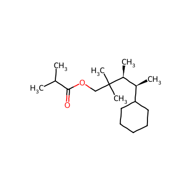 CC(C)C(=O)OCC(C)(C)[C@@H](C)[C@@H](C)C1CCCCC1